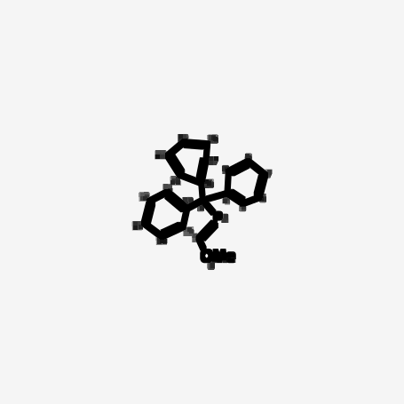 CO/C=P/C(c1ccccc1)(c1ccccc1)c1ccccc1